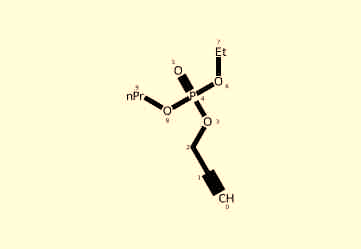 C#CCOP(=O)(OCC)OCCC